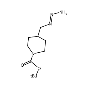 CC(C)(C)OC(=O)N1CCC(CN=NN)CC1